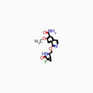 COc1cc2c(OCC3NC(=O)C4(F)CC34)nccc2cc1C(N)=O